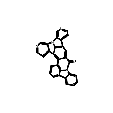 O=c1c2cc3c4ccncc4n4c5cnccc5c(c2c2cccc5c6ccccc6n1c52)c34